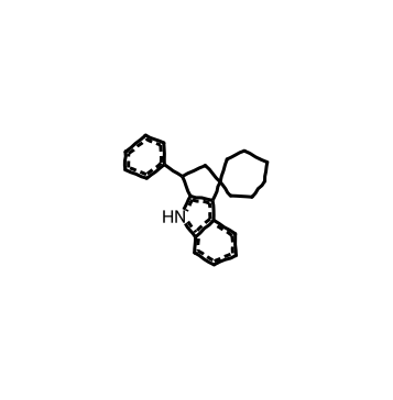 c1ccc(C2CC3(CCCCCC3)c3c2[nH]c2ccccc32)cc1